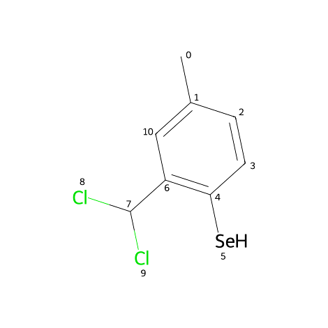 Cc1ccc([SeH])c(C(Cl)Cl)c1